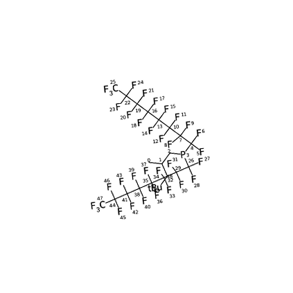 CC(CP(C(F)(F)C(F)(F)C(F)(F)C(F)(F)C(F)(F)C(F)(F)C(F)(F)C(F)(F)F)C(F)(F)C(F)(F)C(F)(F)C(F)(F)C(F)(F)C(F)(F)C(F)(F)C(F)(F)F)CC(C)(C)C